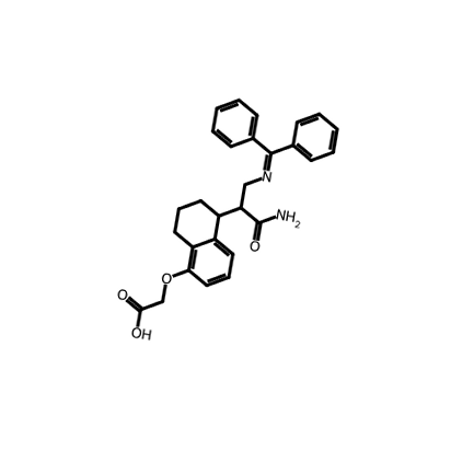 NC(=O)C(CN=C(c1ccccc1)c1ccccc1)C1CCCc2c(OCC(=O)O)cccc21